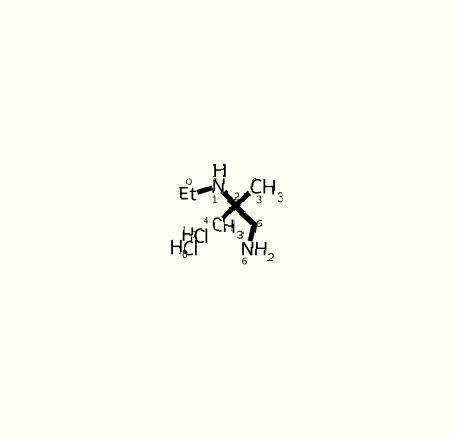 CCNC(C)(C)CN.Cl.Cl